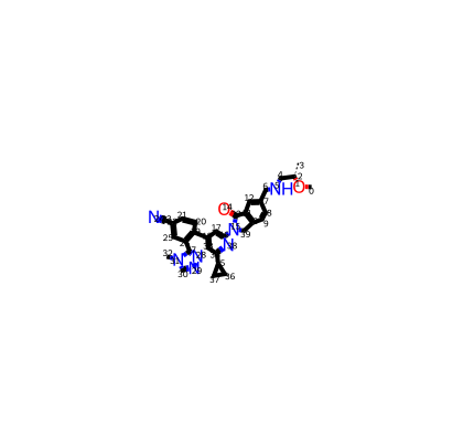 CO[C@@H](C)CNCc1ccc2c(c1)C(=O)N(c1cc(-c3ccc(C#N)cc3-c3nncn3C)cc(C3CC3)n1)C2